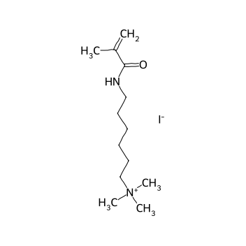 C=C(C)C(=O)NCCCCCC[N+](C)(C)C.[I-]